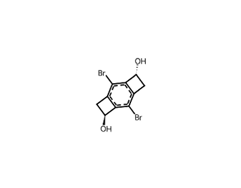 O[C@@H]1Cc2c(Br)c3c(c(Br)c21)C[C@@H]3O